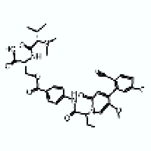 CCC(C(=O)Nc1ccc(C(=O)OC[C@H](NC(=O)[C@H](C(C)C)N(C)C)C(=O)O)cc1)n1cc(OC)c(-c2cc(Cl)ccc2C#N)cc1=O